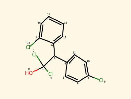 OC(Cl)(Cl)C(c1ccc(Cl)cc1)c1ccccc1Cl